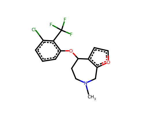 CN1CCC(Oc2cccc(Cl)c2C(F)(F)F)c2ccoc2C1